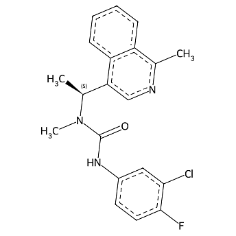 Cc1ncc([C@H](C)N(C)C(=O)Nc2ccc(F)c(Cl)c2)c2ccccc12